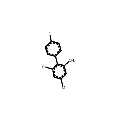 Cc1cc(Cl)cc(Cl)c1-c1ccc(Cl)cc1